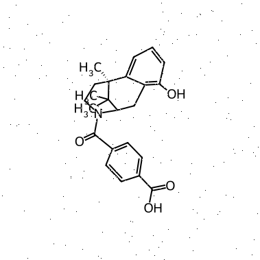 CC1(C)C2Cc3c(O)cccc3[C@]1(C)CCN2C(=O)c1ccc(C(=O)O)cc1